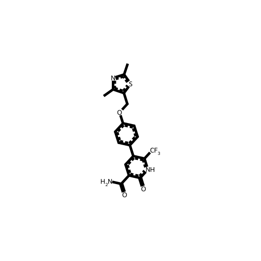 Cc1nc(C)c(COc2ccc(-c3cc(C(N)=O)c(=O)[nH]c3C(F)(F)F)cc2)s1